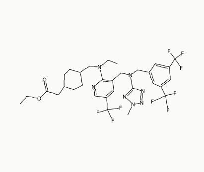 CCOC(=O)CC1CCC(CN(CC)c2ncc(C(F)(F)F)cc2CN(Cc2cc(C(F)(F)F)cc(C(F)(F)F)c2)c2nnn(C)n2)CC1